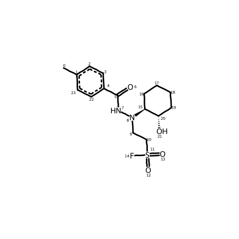 Cc1ccc(C(=O)NN(CCS(=O)(=O)F)[C@H]2CCCC[C@@H]2O)cc1